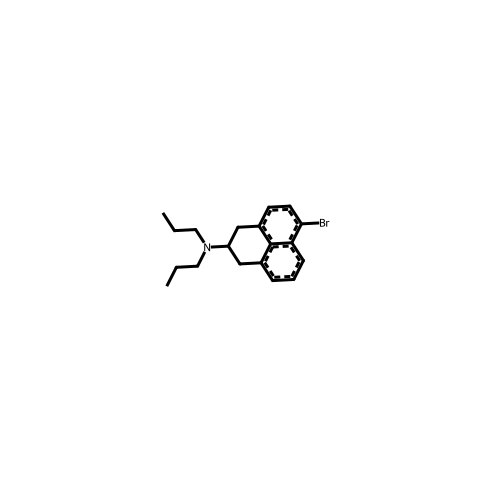 CCCN(CCC)C1Cc2cccc3c(Br)ccc(c23)C1